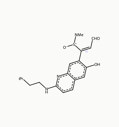 CN[S+]([O-])/C(=C\C=O)c1cc2nc(NCCC(C)C)ccc2cc1O